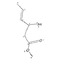 C/C=C/C(O)CC(=O)OC